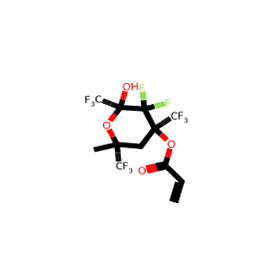 C=CC(=O)OC1(C(F)(F)F)CC(C)(C(F)(F)F)OC(O)(C(F)(F)F)C1(F)F